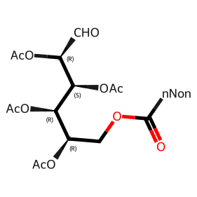 CCCCCCCCCC(=O)OC[C@@H](OC(C)=O)[C@@H](OC(C)=O)[C@H](OC(C)=O)[C@H](C=O)OC(C)=O